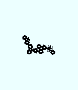 CC1(C)c2ccccc2-c2ccc(-c3ccc4c(c3)c3ccccc3n4-c3ccc(-c4ccccc4-c4ccccc4-c4ccc(-c5nnc(-c6ccccc6)o5)cc4)cc3)cc21